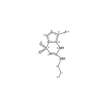 CCCNC1=NS(=O)(=O)c2scc(F)c2N1